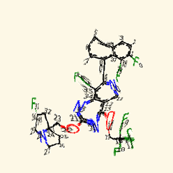 Fc1ccc2cccc(-c3ncc4c(OCC(F)(F)F)nc(OC[C@@]56CCCN5C[C@H](F)C6)nc4c3F)c2c1F